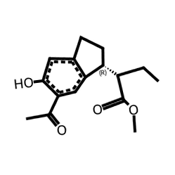 CCC(C(=O)OC)[C@H]1CCc2cc(O)c(C(C)=O)cc21